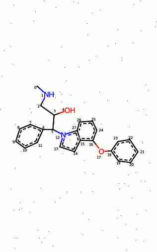 CNCC(O)C(c1ccccc1)n1ccc2c(Oc3ccccc3)cccc21